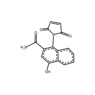 NC(=O)c1cc(O)c2ccccc2c1N1C(=O)C=CC1=O